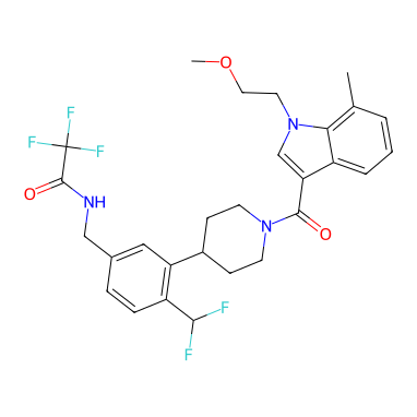 COCCn1cc(C(=O)N2CCC(c3cc(CNC(=O)C(F)(F)F)ccc3C(F)F)CC2)c2cccc(C)c21